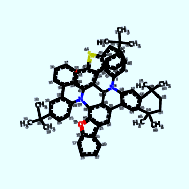 CC(C)(C)c1ccc(N2B3c4c(cc5c(oc6ccccc65)c4N(c4ccc(C(C)(C)C)cc4-c4ccccc4)c4ccc5sc6ccccc6c5c43)-c3cc4c(cc32)C(C)(C)CCC4(C)C)cc1